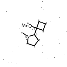 COC1(C2CCCN2C)CCC1